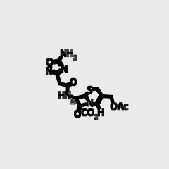 CC(=O)OCC1=C(C(=O)O)N2C(=O)[C@@H](NC(=O)Cc3noc(N)n3)C2SC1